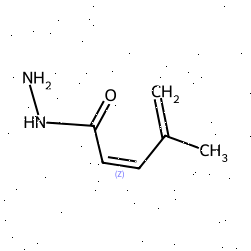 C=C(C)/C=C\C(=O)NN